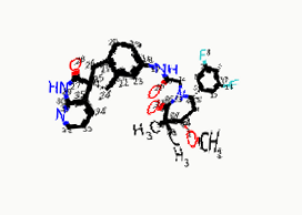 CO[C@H]1C[C@@H](c2cc(F)cc(F)c2)N(CC(=O)Nc2ccc3c(c2)C[C@@]2(C3)C(=O)Nc3ncccc32)C(=O)C1(C)C